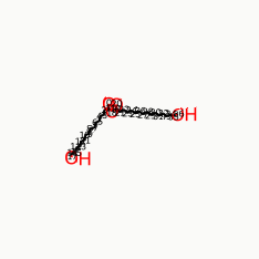 O=C(CCCCCCCCCCCCCCCO)OC(=O)CCCCCCCCCCCCCCCO